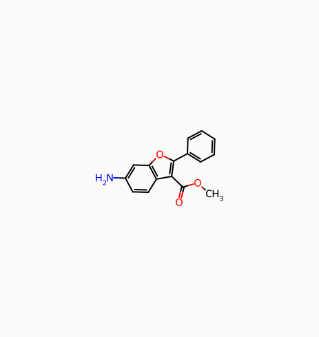 COC(=O)c1c(-c2ccccc2)oc2cc(N)ccc12